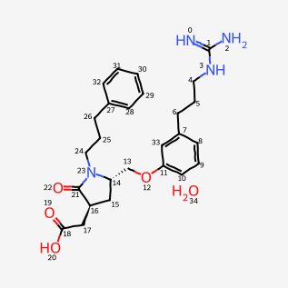 N=C(N)NCCCc1cccc(OC[C@@H]2C[C@@H](CC(=O)O)C(=O)N2CCCc2ccccc2)c1.O